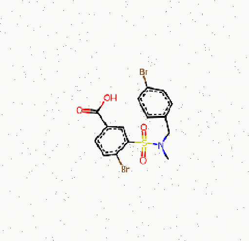 CN(Cc1ccc(Br)cc1)S(=O)(=O)c1cc(C(=O)O)ccc1Br